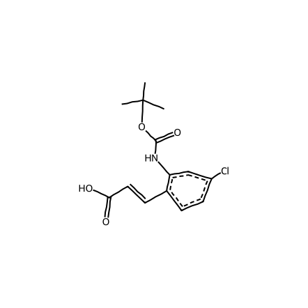 CC(C)(C)OC(=O)Nc1cc(Cl)ccc1C=CC(=O)O